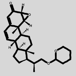 C[C@H](COC1CCCCO1)[C@H]1CC[C@H]2[C@@H]3C=CC4=CC(=O)[C@@H]5O[C@@H]5[C@]4(C)[C@H]3CC[C@]12C